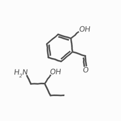 CCC(O)CN.O=Cc1ccccc1O